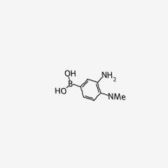 CNc1ccc(B(O)O)cc1N